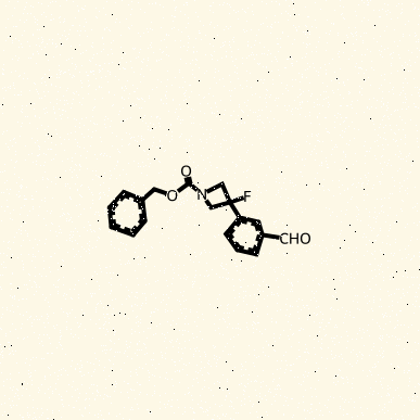 O=Cc1cccc(C2(F)CN(C(=O)OCc3ccccc3)C2)c1